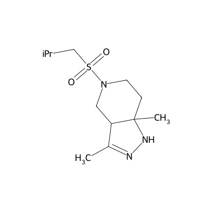 CC1=NNC2(C)CCN(S(=O)(=O)CC(C)C)CC12